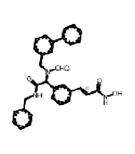 O=CN(Cc1cccc(-c2ccccc2)c1)C(C(=O)NCc1ccccc1)c1cccc(/C=C/C(=O)NO)c1